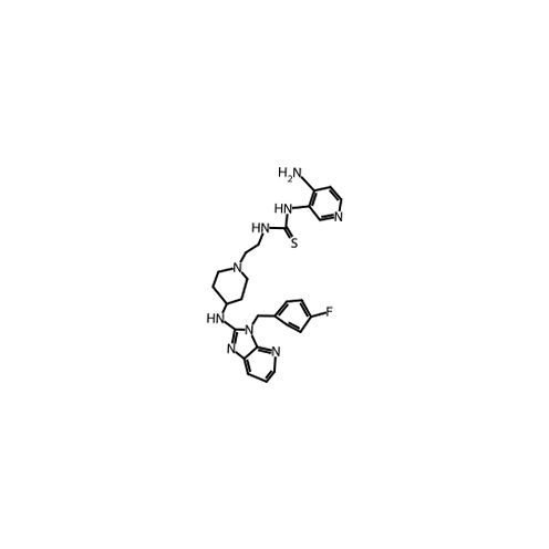 Nc1ccncc1NC(=S)NCCN1CCC(Nc2nc3cccnc3n2Cc2ccc(F)cc2)CC1